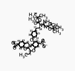 CCC1Oc2cc([N+](=O)[O-])cc(Oc3ccc(CCN(C(=O)OC(C)(C)C)C(N)=NC(=O)OC(C)(C)C)cc3)c2N(Cc2ccc([N+](=O)[O-])cc2)C1=O